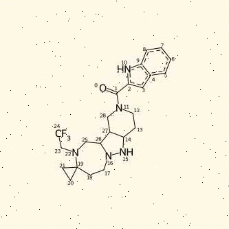 O=C(c1cc2ccccc2[nH]1)N1CCC2NN3CCC4(CC4)N(CC(F)(F)F)CC3C2C1